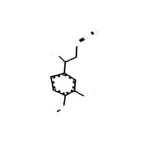 COc1ccc(C(O)CN=[N+]=[N-])cc1OC